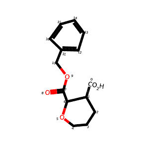 O=C(O)C1CCCOC1C(=O)OCc1ccccc1